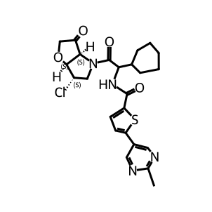 Cc1ncc(-c2ccc(C(=O)NC(C(=O)N3C[C@H](Cl)[C@H]4OCC(=O)[C@H]43)C3CCCCC3)s2)cn1